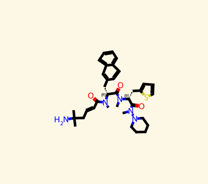 CN(C(=O)C=CCC(C)(C)N)[C@H](Cc1ccc2ccccc2c1)C(=O)N(C)[C@H](Cc1cccs1)C(=O)N(C)N1CCCCC1